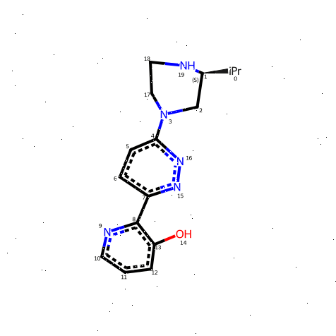 CC(C)[C@H]1CN(c2ccc(-c3ncccc3O)nn2)CCN1